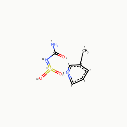 FC(F)(F)c1cccnc1.NC(=O)N=S(=O)=O